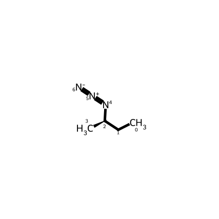 CC[C@@H](C)N=[N+]=[N-]